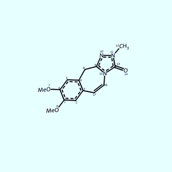 COc1cc2c(cc1OC)Cc1nn(C)c(=O)n1C=C2